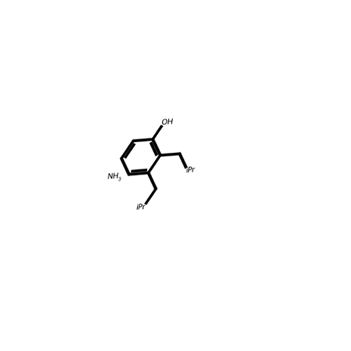 CC(C)Cc1cccc(O)c1CC(C)C.N